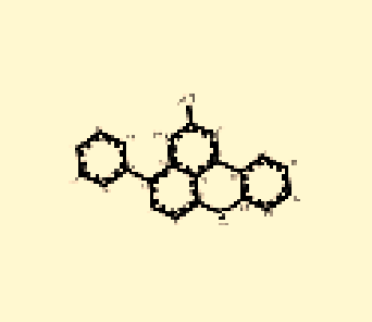 Clc1nc2c3c(ccc(-c4ccccc4)c3n1)Sc1ccccc1-2